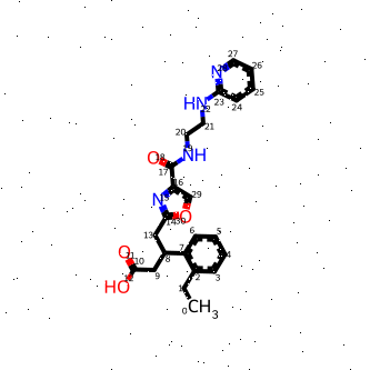 CCc1ccccc1C(CC(=O)O)Cc1nc(C(=O)NCCNc2ccccn2)co1